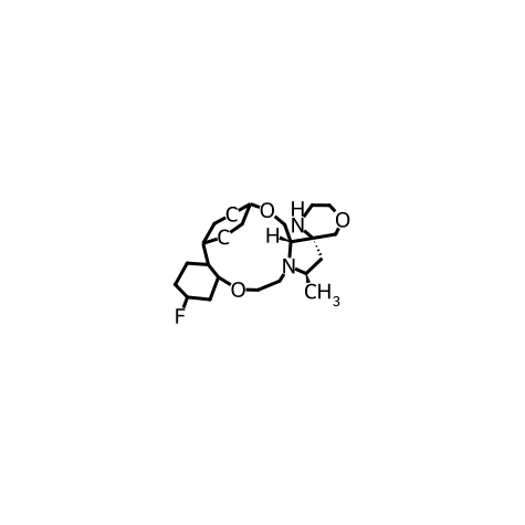 C[C@@H]1C[C@]2(COCCN2)[C@H]2COC3CCC(CC3)C3CCC(F)CC3OCCN12